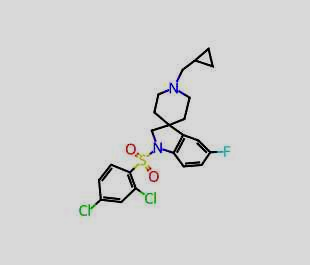 O=S(=O)(c1ccc(Cl)cc1Cl)N1CC2(CCN(CC3CC3)CC2)c2cc(F)ccc21